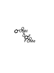 COC(=O)c1c(F)cc(OCCNC(=O)OCc2ccccc2)cc1F